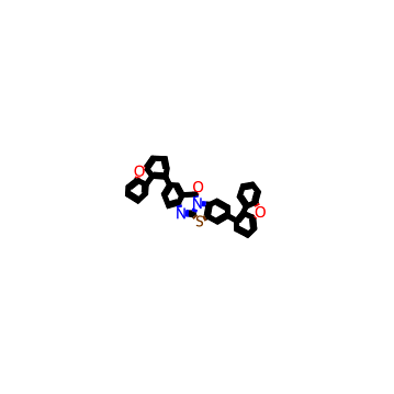 O=c1c2cc(-c3cccc4oc5ccccc5c34)ccc2nc2sc3cc(-c4cccc5oc6ccccc6c45)ccc3n12